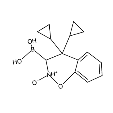 [O-][NH+]1Oc2ccccc2C(C2CC2)(C2CC2)C1B(O)O